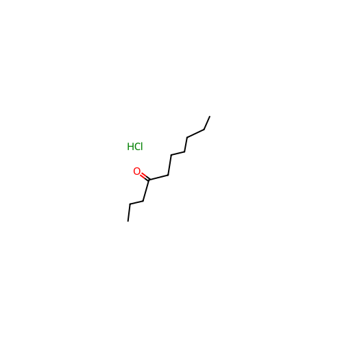 CCCCCCC(=O)CCC.Cl